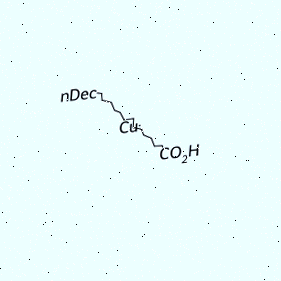 CCCCCCCCCCCCCCCCCCCCCCCC(=O)O.[Cu]